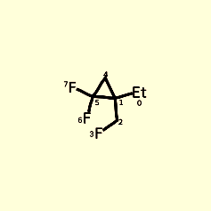 CCC1(CF)CC1(F)F